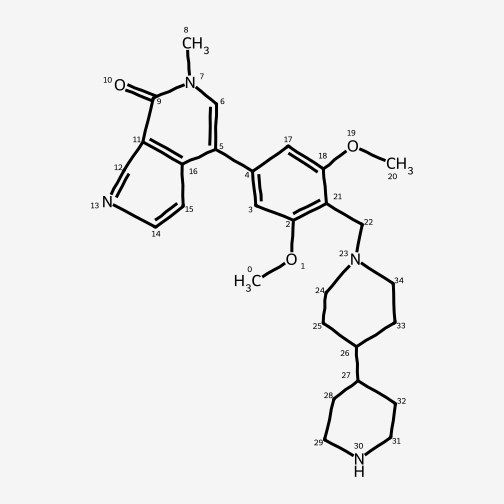 COc1cc(-c2cn(C)c(=O)c3cnccc23)cc(OC)c1CN1CCC(C2CCNCC2)CC1